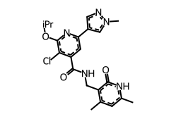 Cc1cc(C)c(CNC(=O)c2cc(-c3cnn(C)c3)nc(OC(C)C)c2Cl)c(=O)[nH]1